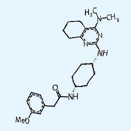 COc1cccc(CC(=O)N[C@H]2CC[C@@H](Nc3nc4c(c(N(C)C)n3)CCCC4)CC2)c1